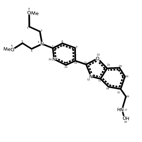 COCCN(CCOC)c1ccc(-c2nc3cc(CNO)ccc3o2)cn1